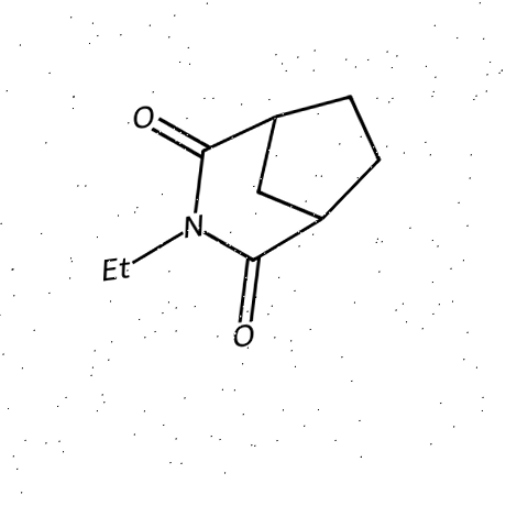 CCN1C(=O)C2CCC(C2)C1=O